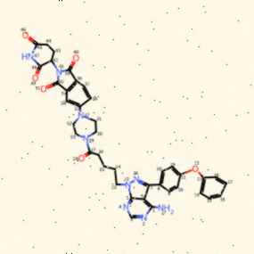 Nc1ncnc2c1c(-c1ccc(Oc3ccccc3)cc1)nn2CCCCC(=O)N1CCN(c2[c]c3c(cc2)C(=O)N(C2CCC(=O)NC2=O)C3=O)CC1